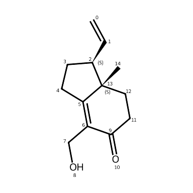 C=C[C@@H]1CCC2=C(CO)C(=O)CC[C@]21C